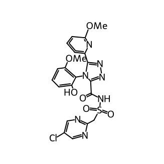 COC1=NC(c2nnc(C(=O)NS(=O)(=O)Cc3ncc(Cl)cn3)n2-c2c(O)cccc2OC)=C=C=C1